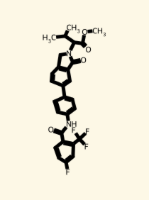 COC(=O)C(C(C)C)N1Cc2ccc(-c3ccc(NC(=O)c4ccc(F)cc4C(F)(F)F)cc3)cc2C1=O